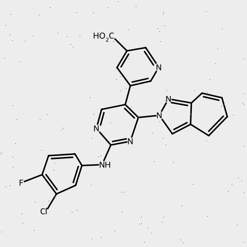 O=C(O)c1cncc(-c2cnc(Nc3ccc(F)c(Cl)c3)nc2-n2cc3ccccc3n2)c1